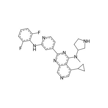 CN(c1nc(-c2ccnc(Nc3c(F)cccc3F)c2)nc2cncc(C3CC3)c12)C1CCNC1